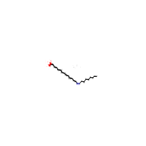 CCCCCCCC/C=C\CCCCCCCCCCCCCC(=O)O.[Os]